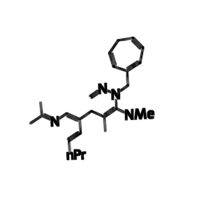 C=NN(CC1=CC=CCC=C1)/C(NC)=C(/C)CC(=C/N=C(C)C)/C=C/CCC